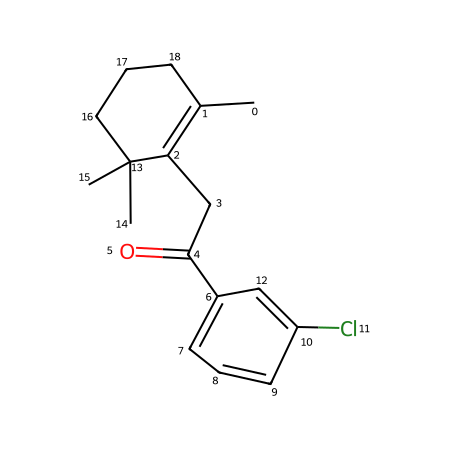 CC1=C(CC(=O)c2cccc(Cl)c2)C(C)(C)CCC1